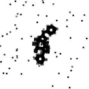 O=C1N[C@@H]2CN(Cc3ccccc3)C[C@@H]2n2nnc(-c3ccccc3)c21